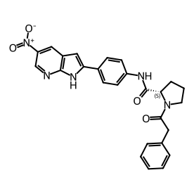 O=C(Nc1ccc(-c2cc3cc([N+](=O)[O-])cnc3[nH]2)cc1)[C@@H]1CCCN1C(=O)Cc1ccccc1